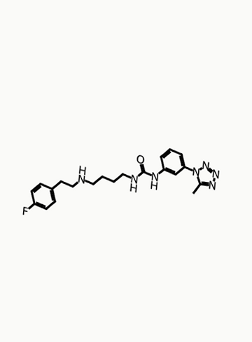 Cc1nnnn1-c1cccc(NC(=O)NCCCCNCCc2ccc(F)cc2)c1